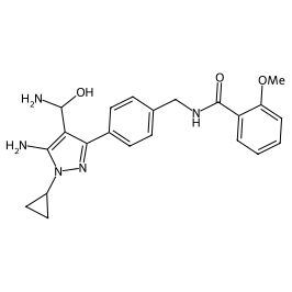 COc1ccccc1C(=O)NCc1ccc(-c2nn(C3CC3)c(N)c2C(N)O)cc1